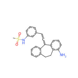 CS(=O)(=O)Nc1cccc(C=C=C2c3ccccc3CCc3c(N)cccc32)c1